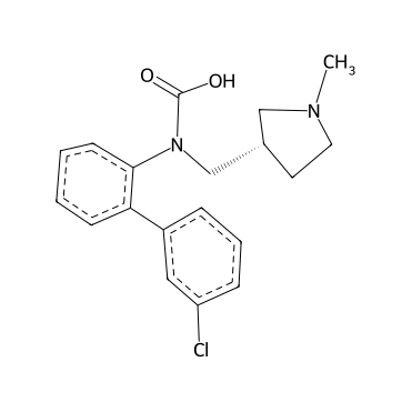 CN1CC[C@H](CN(C(=O)O)c2ccccc2-c2cccc(Cl)c2)C1